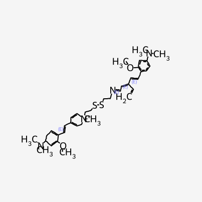 C=CC(/C=C/c1ccc(N(C)C)cc1OC)=C\C=N\CCSSCC[N+]1(C)C=CC(/C=C/C2=CCC(N(C)C)C=C2OC)=CC1